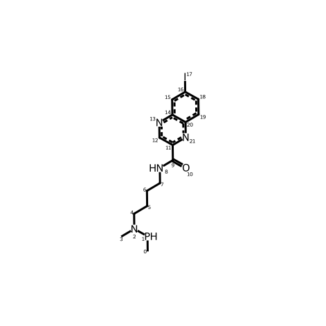 CPN(C)CCCCNC(=O)c1cnc2cc(I)ccc2n1